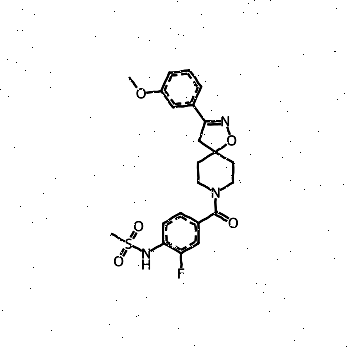 COc1cccc(C2=NOC3(CCN(C(=O)c4ccc(NS(C)(=O)=O)c(F)c4)CC3)C2)c1